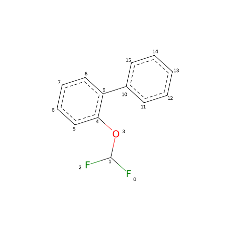 FC(F)Oc1ccccc1-c1ccccc1